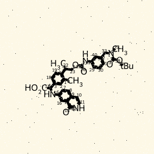 Cc1cc(C(Nc2ccc3cc[nH]c(=O)c3c2)C(=O)O)ccc1[C@@H](C)COC(=O)Nc1cccc(CN(C)C(=O)OC(C)(C)C)c1